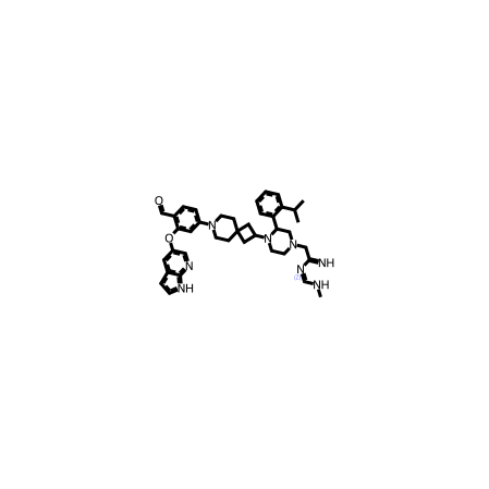 CN/C=N\C(=N)CN1CCN(C2CC3(CCN(c4ccc(C=O)c(Oc5cnc6[nH]ccc6c5)c4)CC3)C2)C(c2ccccc2C(C)C)C1